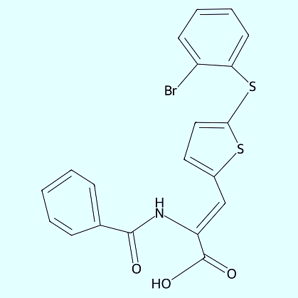 O=C(O)C(=Cc1ccc(Sc2ccccc2Br)s1)NC(=O)c1ccccc1